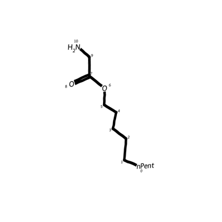 CCCCCCCCCCOC(=O)CN